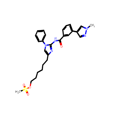 Cn1cc(-c2cccc(C(=O)Nc3nc(CCCCCCOS(C)(=O)=O)cn3-c3ccccc3)c2)cn1